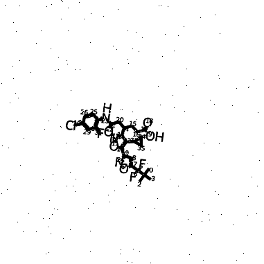 CC(C)(C)C(F)(F)c1cc(-c2onc(C(CCC(=O)O)CC(=O)Nc3ccc(Cl)cc3F)c2C2CC2)no1